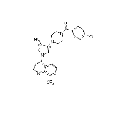 O=C(c1ccc(Cl)cc1)N1CCN([C@@H]2CN(c3ccnc4c(C(F)(F)F)cccc34)C[C@H]2O)CC1